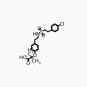 CC(C)(Oc1ccc(CCNS(=O)(=O)CCc2ccc(Cl)cc2)cc1)C(=O)O